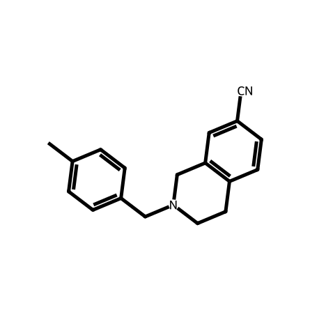 Cc1ccc(CN2CCc3ccc(C#N)cc3C2)cc1